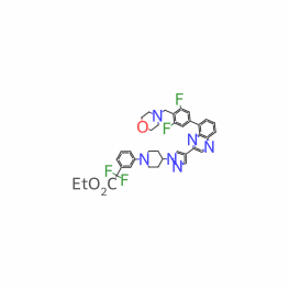 CCOC(=O)C(F)(F)c1cccc(N2CCC(n3cc(-c4cnc5cccc(-c6cc(F)c(CN7CCOCC7)c(F)c6)c5n4)cn3)CC2)c1